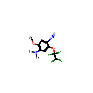 CCOc1cc([N+]#N)c(OC(F)(F)C(F)Cl)cc1N(CC)CC.[Cl-]